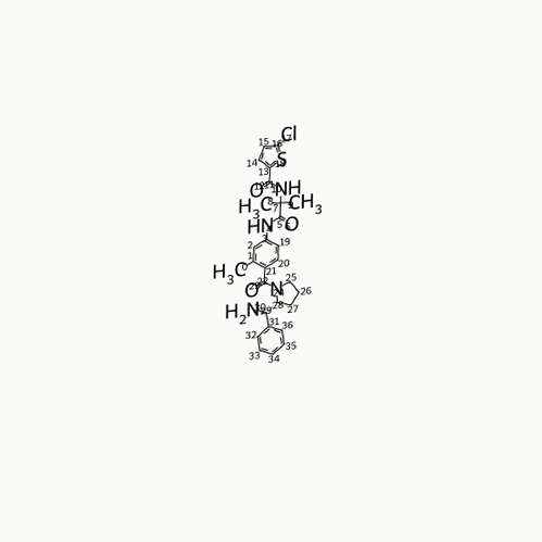 Cc1cc(NC(=O)C(C)(C)NC(=O)c2ccc(Cl)s2)ccc1C(=O)N1CCC[C@@H]1C(N)c1ccccc1